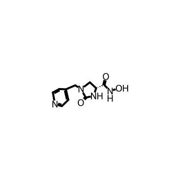 O=C(NO)[C@H]1CN(Cc2ccncc2)C(=O)N1